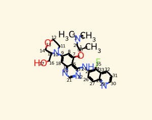 C[C@H](CN(C)C)Oc1cc(N2CCOCC2CO)cc2ncnc(Nc3ccc4ncccc4c3F)c12